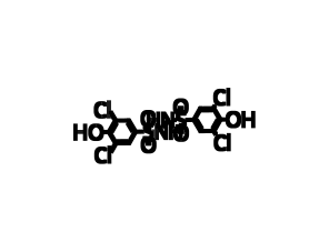 O=S(=O)(NNS(=O)(=O)c1cc(Cl)c(O)c(Cl)c1)c1cc(Cl)c(O)c(Cl)c1